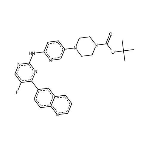 CC(C)(C)OC(=O)N1CCN(c2ccc(Nc3ncc(F)c(-c4ccc5ncccc5c4)n3)nc2)CC1